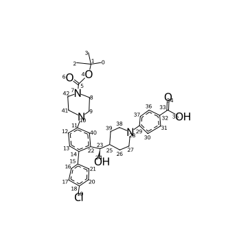 CC(C)(C)OC(=O)N1CCN(c2ccc(-c3ccc(Cl)cc3)c([C@H](O)C3CCN(c4ccc(C(=O)O)cc4)CC3)c2)CC1